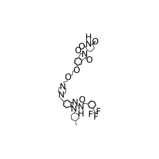 C[C@H]1CC[C@@H](n2c(NC(=O)c3cccc(C(F)(F)F)c3)nc3cc(CN4CCN(CCOCCOc5ccc6c(c5)C(=O)N(C5CCC(=O)NC5=O)C6=O)CC4)ccc32)CC1